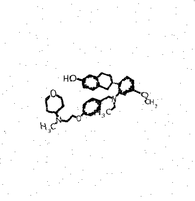 CCN(Cc1ccc(OCCN(C)C2CCOCC2)cc1)c1cc(OC)ccc1[C@@H]1CCc2cc(O)ccc2C1